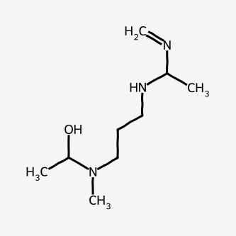 C=NC(C)NCCCN(C)C(C)O